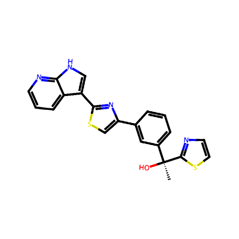 C[C@](O)(c1cccc(-c2csc(-c3c[nH]c4ncccc34)n2)c1)c1nccs1